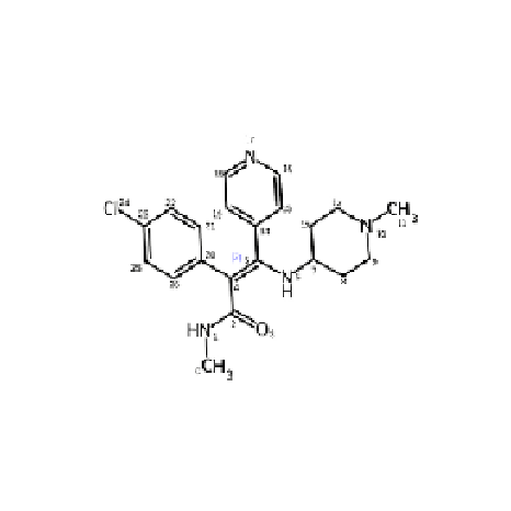 CNC(=O)/C(=C(\NC1CCN(C)CC1)c1ccncc1)c1ccc(Cl)cc1